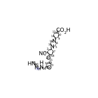 N#Cc1cc(N2CCN(c3ccc(C(=O)O)cc3)CC2)ccc1OC[C@@H]1CO[C@H](CN/C=N\C=N)C1